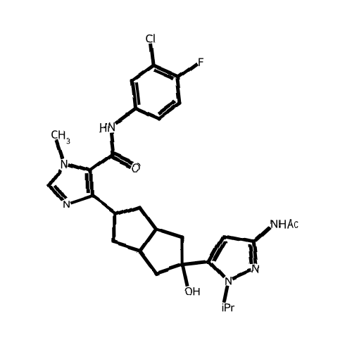 CC(=O)Nc1cc(C2(O)CC3CC(c4ncn(C)c4C(=O)Nc4ccc(F)c(Cl)c4)CC3C2)n(C(C)C)n1